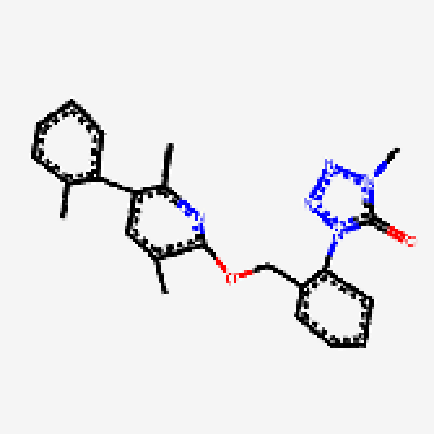 Cc1ccccc1-c1cc(C)c(OCc2ccccc2-n2nnn(C)c2=O)nc1C